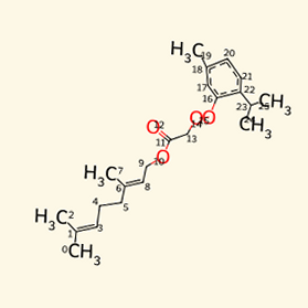 CC(C)=CCC/C(C)=C/COC(=O)COOc1cc(C)ccc1C(C)C